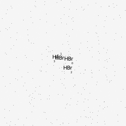 Br.Br.Br.[Hf]